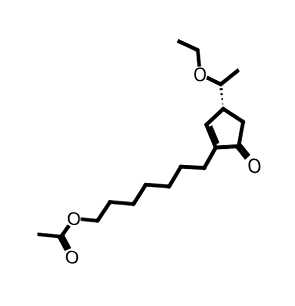 CCOC(C)[C@H]1C=C(CCCCCCCOC(C)=O)C(=O)C1